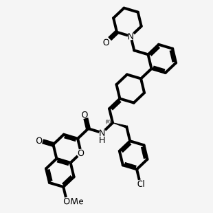 COc1ccc2c(=O)cc(C(=O)N[C@@H](C=C3CCC(c4ccccc4CN4CCCCC4=O)CC3)Cc3ccc(Cl)cc3)oc2c1